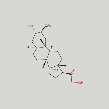 CC(=O)O[C@H]1C[C@@]2(C)[C@@H](CC[C@@H]3[C@@H]2CC[C@]2(C)[C@@H](C(=O)CO)CC[C@@H]32)C[C@@H]1O